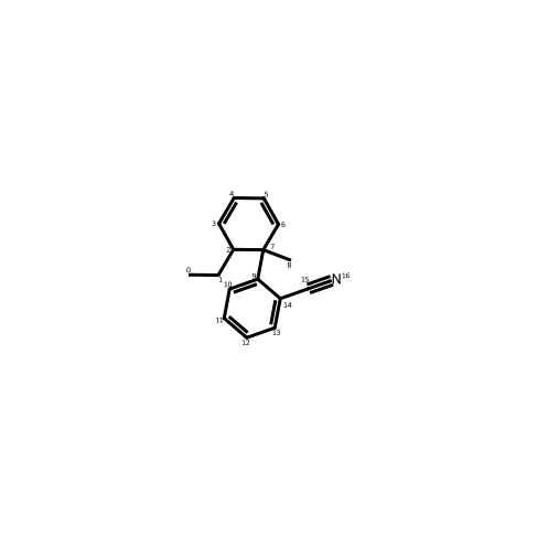 CCC1C=CC=CC1(C)c1ccccc1C#N